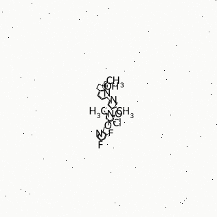 CC[C@@]1(O)CCc2ccc(-c3cc(-n4c(C)cc(OCc5ncc(F)cc5F)c(Cl)c4=O)c(C)cn3)nc21